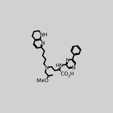 CO[C@H](C)CN(CCCCc1ccc2c(n1)NCCC2)CC[C@@H](Nc1cncc(-c2ccccc2)n1)C(=O)O